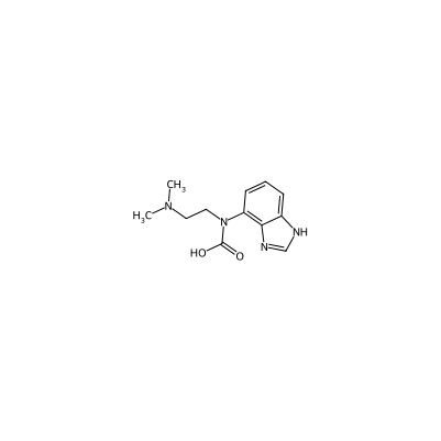 CN(C)CCN(C(=O)O)c1cccc2[nH]cnc12